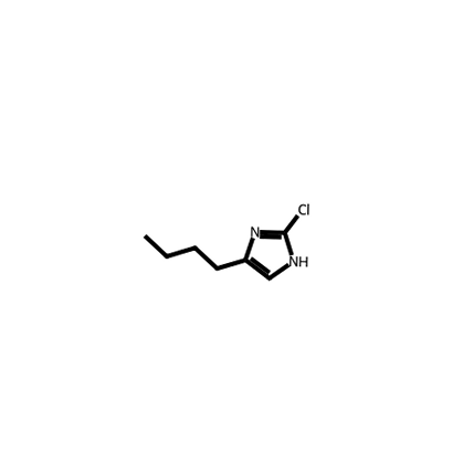 CCCCc1c[nH]c(Cl)n1